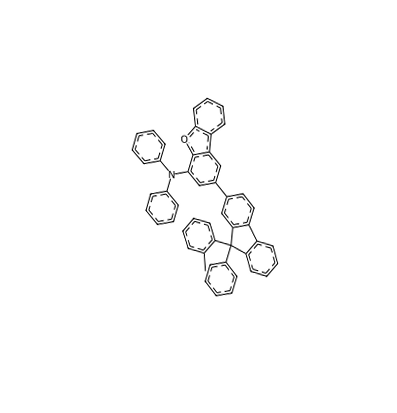 Cc1ccccc1C1(c2ccccc2)c2ccccc2-c2ccc(-c3cc(N(c4ccccc4)c4ccccc4)c4oc5ccccc5c4c3)cc21